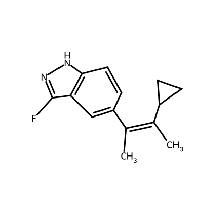 C/C(=C(\C)C1CC1)c1ccc2[nH]nc(F)c2c1